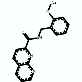 CCC(C)Oc1ccccc1CNC(=O)c1ccc2cccnc2n1